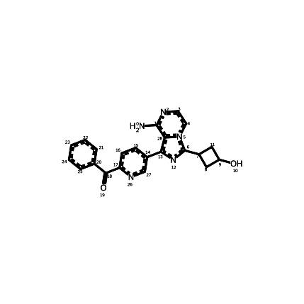 Nc1nccn2c(C3CC(O)C3)nc(-c3ccc(C(=O)c4ccccc4)nc3)c12